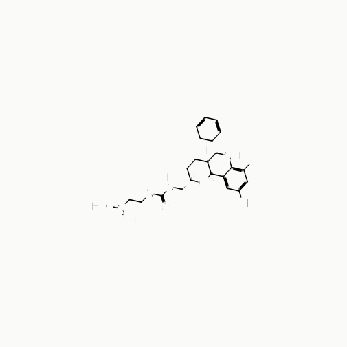 CN(C)CCNC(=O)NC[C@H]1CC[C@@H]2[C@H](O1)c1cc(Cl)cc(F)c1N[C@H]2C1C=CC=CC1